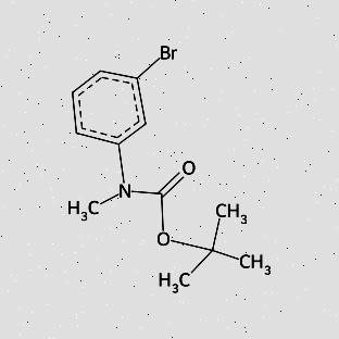 CN(C(=O)OC(C)(C)C)c1cccc(Br)c1